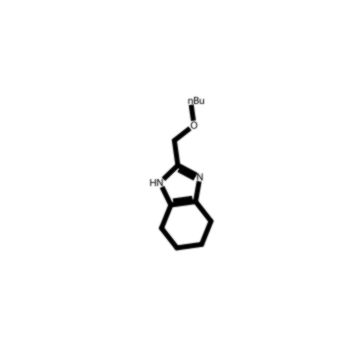 CCCCOCc1nc2c([nH]1)CCCC2